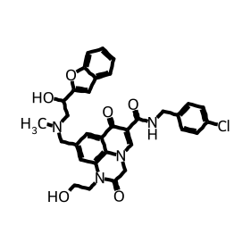 CN(Cc1cc2c3c(c1)c(=O)c(C(=O)NCc1ccc(Cl)cc1)cn3CC(=O)N2CCO)CC(O)c1cc2ccccc2o1